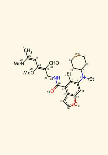 CCc1c(N(CC)C2CCSCC2)cc2occc2c1C(=O)NC/C(C=O)=C(/C=C(/C)NC)OC